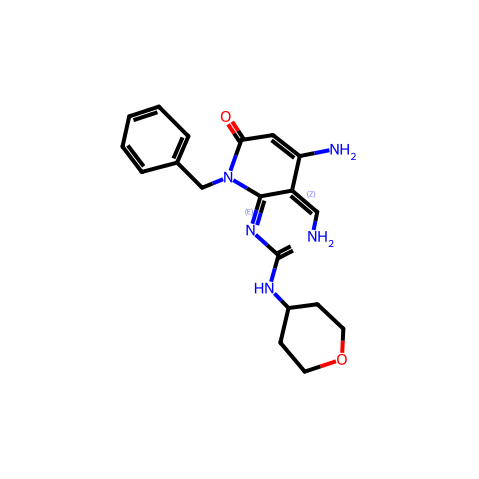 C=C(/N=C1\C(=C/N)C(N)=CC(=O)N1Cc1ccccc1)NC1CCOCC1